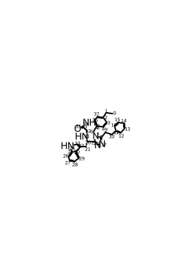 CCc1ccc(Cn2c(CCc3ccccc3)nnc2[C@@H](Cc2c[nH]c3ccccc23)NCC(N)=O)cc1